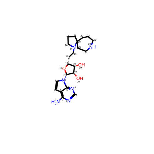 Nc1ncnc2c1ccn2[C@@H]1O[C@H](CCN2CCCC23CCCNCC3)[C@@H](O)[C@H]1O